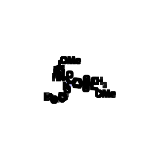 CCO[C@@H]1CC[C@@H](O/N=C(/C(=O)Nc2ncc(COC)s2)c2ccc(S(=O)(=O)N(C)CCOC)cc2)C1